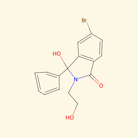 O=C1c2ccc(Br)cc2C(O)(c2ccccc2)N1CCO